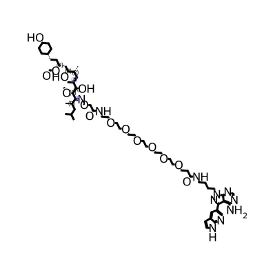 CO[C@@H](/C(=N/OCC(=O)NCCOCCOCCOCCOCCOCCOCCC(=O)NCCCCn1nc(-c2cnc3[nH]ccc3c2)c2c(N)ncnc21)[C@H](C)CC(C)C)[C@H](O)/C(C)=C/[C@@H](C)[C@H](O)C[C@@H](CC[C@H]1CC[C@H](O)CC1)OC=O